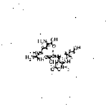 CN(CC(=O)[O-])C(=N)N.C[C@H](N)C(=O)O.C[N+](C)(C)CCO.N=C(N)NCCC[C@H](N)C(=O)O